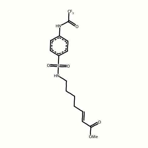 COC(=O)/C=C/CCCCNS(=O)(=O)c1ccc(NC(=O)C(F)(F)F)cc1